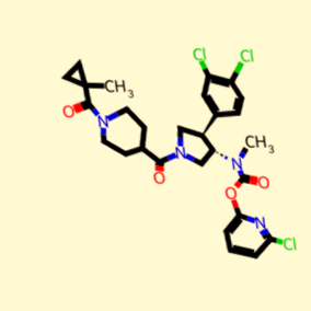 CN(C(=O)Oc1cccc(Cl)n1)[C@@H]1CN(C(=O)C2CCN(C(=O)C3(C)CC3)CC2)C[C@H]1c1ccc(Cl)c(Cl)c1